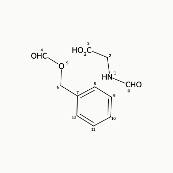 O=CNCC(=O)O.O=COCc1ccccc1